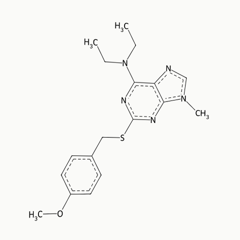 CCN(CC)c1nc(SCc2ccc(OC)cc2)nc2c1ncn2C